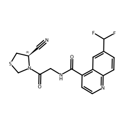 N#C[C@@H]1CSCN1C(=O)CNC(=O)c1ccnc2ccc(C(F)F)cc12